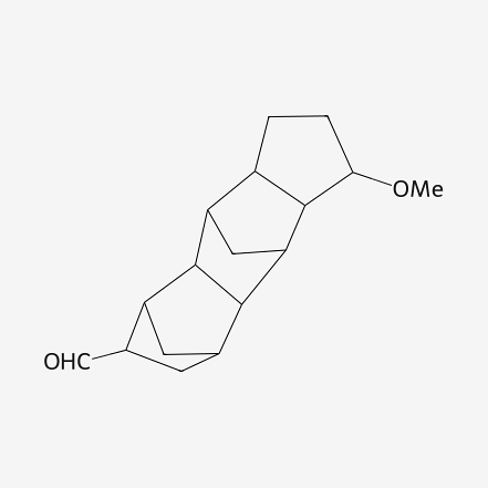 COC1CCC2C3CC(C12)C1C2CC(C=O)C(C2)C31